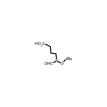 CC(C)(C)ON(C=O)CCCC(=O)O